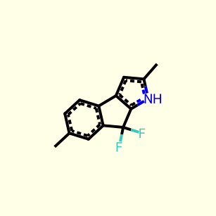 Cc1ccc2c(c1)C(F)(F)c1[nH]c(C)cc1-2